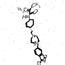 CN(C)C(=O)N[C@H]1CC[C@H](CCN2CCN(c3ccc4c(Cl)noc4c3)CC2)CC1